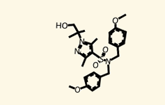 COc1ccc(CN(Cc2ccc(OC)cc2)S(=O)(=O)c2c(C)nn(C(C)(C)CO)c2C)cc1